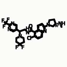 CN[C@H]1CCN(c2ccc3c(C(=O)NCC(c4cnc(C(F)(F)F)nc4)N4CCC(F)(F)CC4)c(Cl)ccc3n2)C1